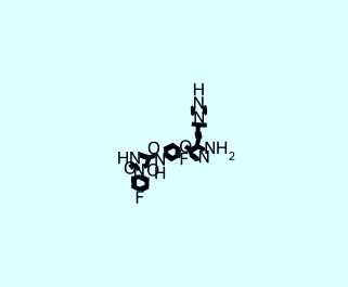 CC(C)(C#Cc1c(Oc2ccc(NC(=O)c3c[nH]c(=O)n(-c4ccc(F)cc4)c3=O)cc2F)ccnc1N)N1CCNCC1